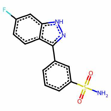 NS(=O)(=O)c1cccc(-c2n[nH]c3cc(F)ccc23)c1